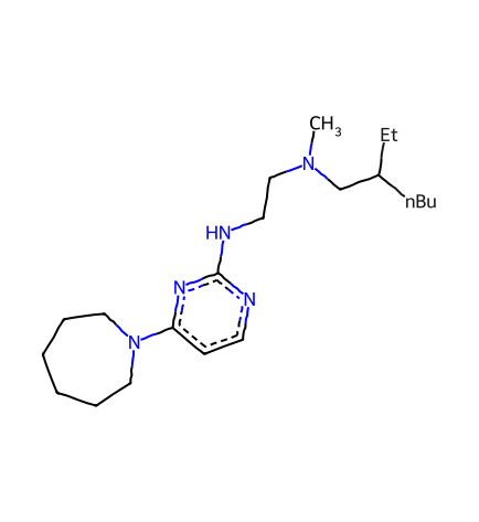 CCCCC(CC)CN(C)CCNc1nccc(N2CCCCCC2)n1